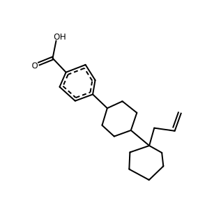 C=CCC1(C2CCC(c3ccc(C(=O)O)cc3)CC2)CCCCC1